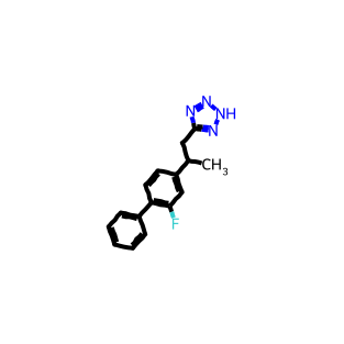 CC(Cc1nn[nH]n1)c1ccc(-c2ccccc2)c(F)c1